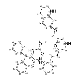 COC(=O)N[C@H](C(=O)Nc1ccccc1CC[C@@H]1CNC[C@@H](COc2ccc3c(c2)NCCC3)O1)C(c1ccccc1)c1ccccc1